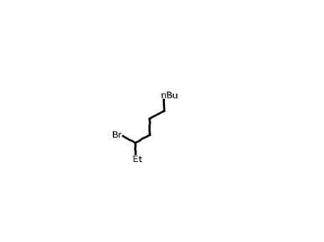 CCCCCCCC(Br)CC